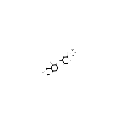 CCCS(=O)(=O)Nc1ncc(F)c(Oc2ccc3ncn(C)c(=O)c3c2C)c1F